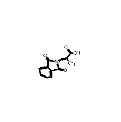 CC(=CN1C(=O)c2ccccc2C1=O)C(=O)O